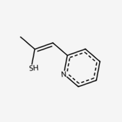 C/C(S)=C/c1ccccn1